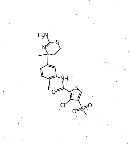 CC1(c2ccc(F)c(NC(=O)c3scc(S(C)(=O)=O)c3Cl)c2)CCSC(N)=N1